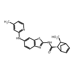 Cc1ccnc(Nc2ccc3nc(NC(=O)[C@@H]4C5C=CC(C5)[C@@H]4C(=O)O)sc3c2)c1